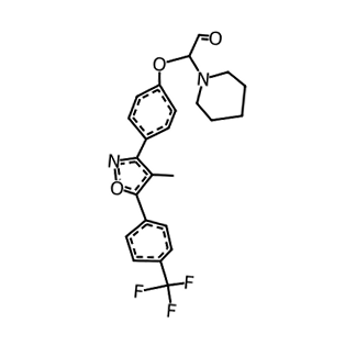 Cc1c(-c2ccc(OC(C=O)N3CCCCC3)cc2)noc1-c1ccc(C(F)(F)F)cc1